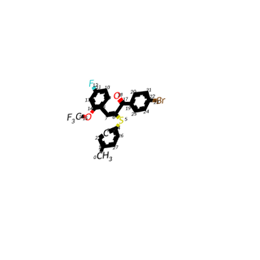 Cc1ccc(S/C(=C/c2ccc(F)cc2OC(F)(F)F)C(=O)c2ccc(Br)cc2)cc1